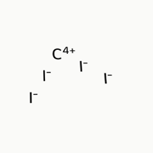 [C+4].[I-].[I-].[I-].[I-]